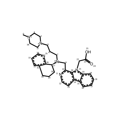 CN1CCN(CCCN(Cc2nccc3c4ccccc4n(CC(=O)O)c23)[C@H]2CCCc3cccnc32)CC1